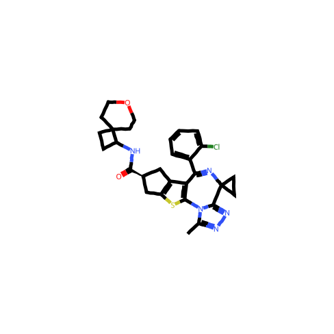 Cc1nnc2n1-c1sc3c(c1C(c1ccccc1Cl)=NC21CC1)C[C@H](C(=O)NC1CCC12CCOCC2)C3